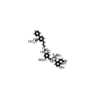 COc1cc(NC(=O)OCCCc2ccc(-c3ccccc3)c(NC(=O)O)c2)c(Cl)cc1CNC[C@H](O[Si](C)(C)C(C)(C)C)c1ccc(O)c2[nH]c(=O)ccc12